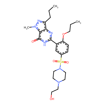 CCCOc1ccc(S(=O)(=O)N2CCN(CCO)CC2)cc1-c1nc2c(CCC)nn(C)c2c(=O)[nH]1